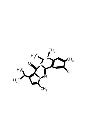 CCn1c(-c2cc(Cl)c(C)cc2OC)nn2c(C)cc(C(C)C)c2c1=O